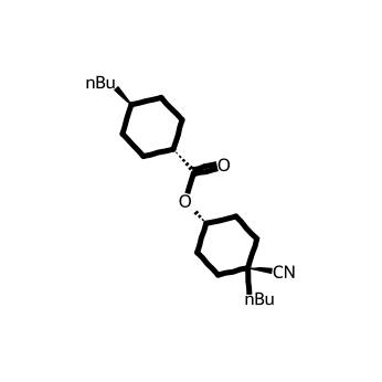 CCCC[C@H]1CC[C@H](C(=O)O[C@H]2CC[C@@](C#N)(CCCC)CC2)CC1